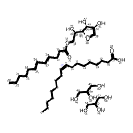 CCCCCCCC/C=C\CCCCCCCC(=O)O.CCCCCCCCCCCC(=O)OC[C@@H](O)[C@H]1OC[C@H](O)[C@H]1O.OCC(O)CO.OCC(O)CO